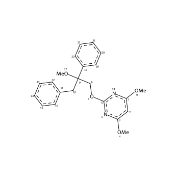 COc1cc(OC)nc(OCC(Cc2ccccc2)(OC)c2ccccc2)n1